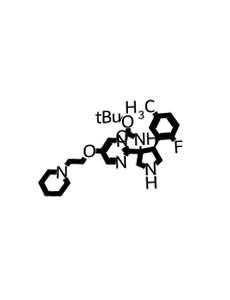 Cc1ccc(F)c([C@H]2CNC[C@@]2(NC(=O)OC(C)(C)C)c2ncc(OCCN3CCCCC3)cn2)c1